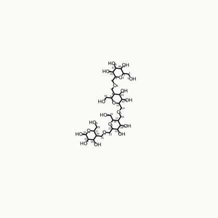 OCC1OC(COCC2C(CO)OC(COCC3C(CO)OC(COCC4C(CO)OC(O)C(O)C4O)C(O)C3O)C(O)C2O)C(O)C(O)C1O